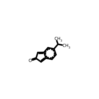 CC(C)c1ccc2c(c1)=CC(=O)C=2